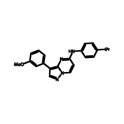 COc1cccc(-c2cnn3ccc(Nc4ccc(C(C)C)cc4)nc23)c1